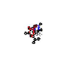 CC1(C)c2cc(-c3cccc(-c4cc(-c5ccccc5)cc(-c5ccccc5)c4)c3)ccc2C(c2nc(-c3ccccc3)nc(-c3cccc(-c4cc(-c5ccccc5)cc(-c5ccccc5)c4)c3)n2)c2cc3c(cc21)c1ccccc1n3-c1nc(-c2ccccc2)nc(-c2cccc(-c3cc(-c4ccccc4)cc(-c4ccccc4)c3)c2)n1